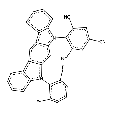 N#Cc1cc(C#N)c(-n2c3ccccc3c3cc4c5ccccc5n(-c5c(F)cccc5F)c4cc32)c(C#N)c1